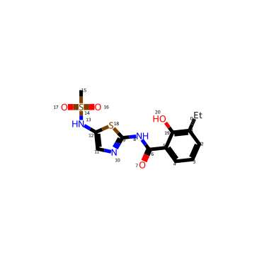 CCc1cccc(C(=O)Nc2ncc(NS(C)(=O)=O)s2)c1O